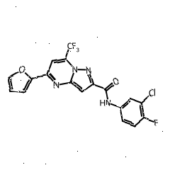 O=C(Nc1ccc(F)c(Cl)c1)c1cc2nc(-c3ccco3)cc(C(F)(F)F)n2n1